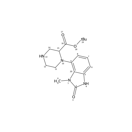 Cn1c(=O)[nH]c2cccc(N3CCNCC3C(=O)OC(C)(C)C)c21